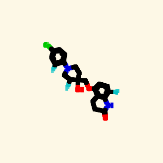 O=C1CCc2c(OCC3(O)CCN(c4ccc(Cl)cc4F)CC3F)ccc(F)c2N1